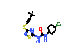 CC(C)(C)C#CSc1nsc(NC(=O)Nc2ccc(Cl)cc2)n1